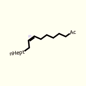 CCCCCCCC/C=C\CCCCCC(C)=O